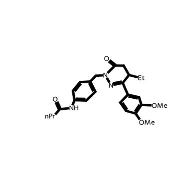 CCCC(=O)Nc1ccc(CN2N=C(c3ccc(OC)c(OC)c3)C(CC)CC2=O)cc1